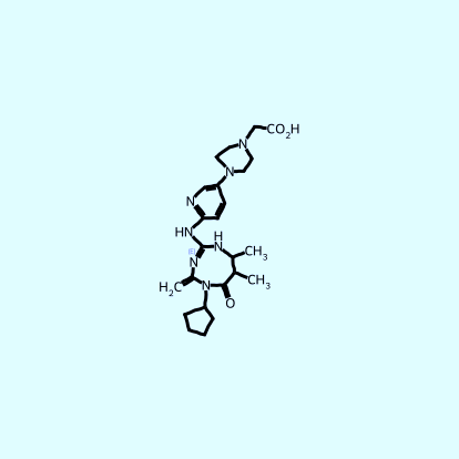 C=C1/N=C(/Nc2ccc(N3CCN(CC(=O)O)CC3)cn2)NC(C)C(C)C(=O)N1C1CCCC1